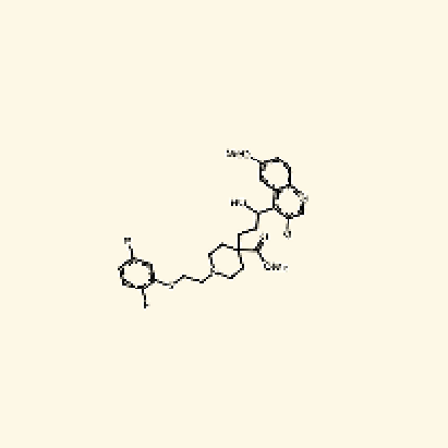 COC(=O)C1(CCC(O)c2c(Cl)cnc3ccc(OC)cc23)CCN(CCSc2cc(F)ccc2F)CC1